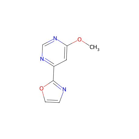 COc1cc(-c2ncco2)ncn1